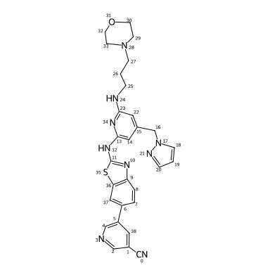 N#Cc1cncc(-c2ccc3nc(Nc4cc(Cn5cccn5)cc(NCCCN5CCOCC5)n4)sc3c2)c1